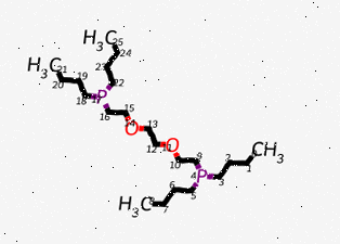 CCCCP(CCCC)CCOCCOCCP(CCCC)CCCC